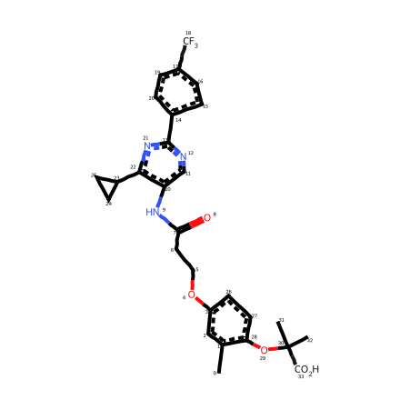 Cc1cc(OCCC(=O)Nc2cnc(-c3ccc(C(F)(F)F)cc3)nc2C2CC2)ccc1OC(C)(C)C(=O)O